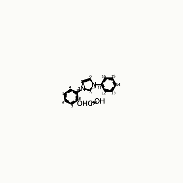 C1=CN(c2ccccc2)CN1c1ccccc1.O=CO